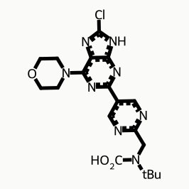 CC(C)(C)N(Cc1ncc(-c2nc(N3CCOCC3)c3nc(Cl)[nH]c3n2)cn1)C(=O)O